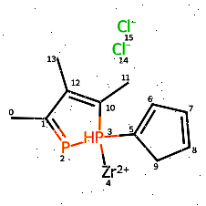 CC1=P[PH]([Zr+2])(C2=CC=CC2)C(C)=C1C.[Cl-].[Cl-]